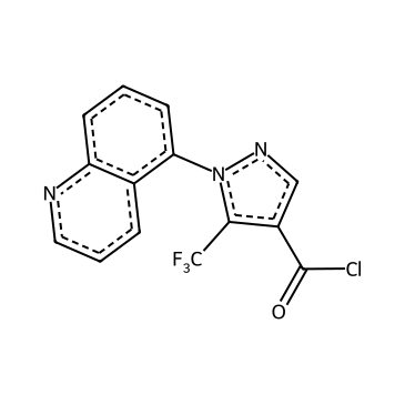 O=C(Cl)c1cnn(-c2cccc3ncccc23)c1C(F)(F)F